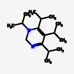 CC(C)C1=NCN(C(C)C)C(C(C)C)=C1C(C)C